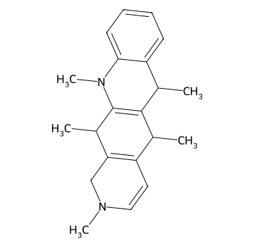 CC1C2=C(CN(C)C=C2)C(C)C2=C1C(C)c1ccccc1N2C